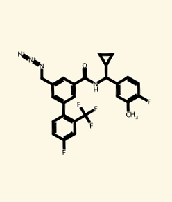 Cc1cc(C(NC(=O)c2cc(CN=[N+]=[N-])cc(-c3ccc(F)cc3C(F)(F)F)c2)C2CC2)ccc1F